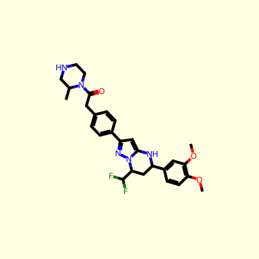 COc1ccc(C2CC(C(F)F)n3nc(-c4ccc(CC(=O)N5CCNCC5C)cc4)cc3N2)cc1OC